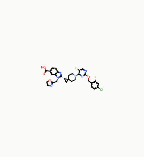 O=C(O)c1ccc2nc([C@H]3CC34CCN(c3nc(OCc5ccc(Cl)cc5F)ncc3F)CC4)n(Cc3ncco3)c2c1